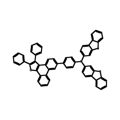 c1ccc(-c2oc3c4ccccc4c4cc(-c5ccc(N(c6ccc7c(c6)sc6ccccc67)c6ccc7c(c6)sc6ccccc67)cc5)ccc4c3c2-c2ccccc2)cc1